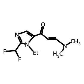 CCn1c(C(=O)C=CN(C)C)cnc1C(F)F